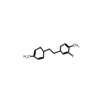 CC1=CCC(CCC2C=C(F)C(C)=CC2)C=C1